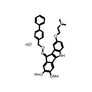 COc1cc2c(cc1OC)-c1[nH]c3ccc(OCCN(C)C)cc3c1/C2=N\OCc1ccc(-c2ccccc2)cc1.Cl